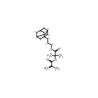 C=C(C)C(=O)OC(C(=O)OCCCC12CC3CC(CC(C3)C1)C2)(C(F)(F)F)C(F)(F)F